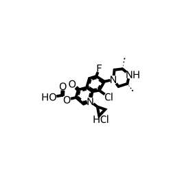 C[C@@H]1CN(c2c(F)cc3c(=O)c(OC(=O)O)cn(C4CC4)c3c2Cl)C[C@H](C)N1.Cl